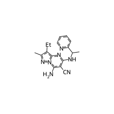 CCc1c(C)nn2c(N)c(C#N)c(NC(C)c3ccccn3)nc12